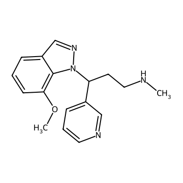 CNCCC(c1cccnc1)n1ncc2cccc(OC)c21